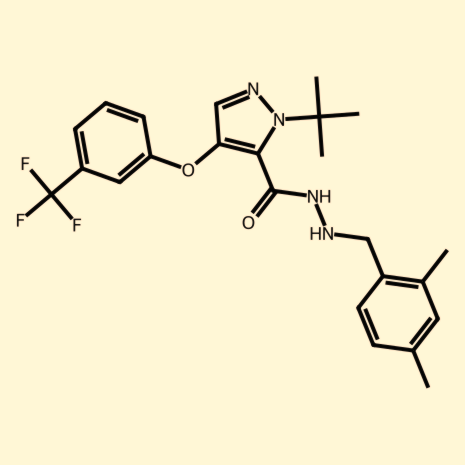 Cc1ccc(CNNC(=O)c2c(Oc3cccc(C(F)(F)F)c3)cnn2C(C)(C)C)c(C)c1